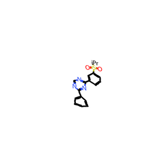 CC(C)S(=O)(=O)c1cccc(-c2ncnc(-c3ccccc3)n2)c1